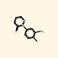 Cc1ccc(-n2ncccc2=O)cc1N